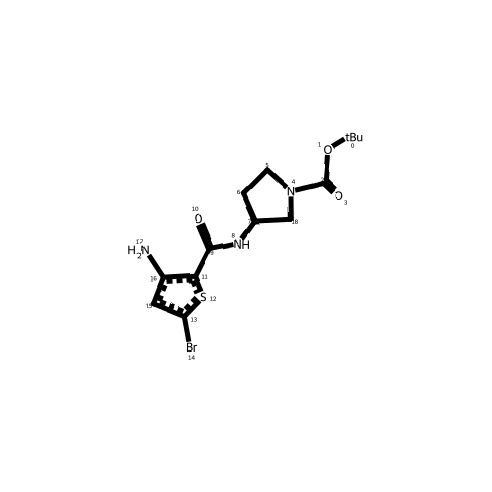 CC(C)(C)OC(=O)N1CCC(NC(=O)c2sc(Br)cc2N)C1